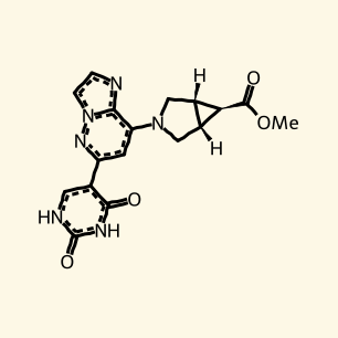 COC(=O)[C@H]1[C@@H]2CN(c3cc(-c4c[nH]c(=O)[nH]c4=O)nn4ccnc34)C[C@@H]21